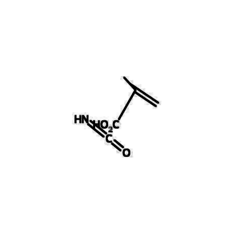 C=C(C)C(=O)O.N=C=O